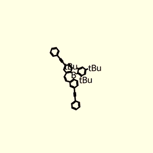 CC(C)(C)c1cc(C(C)(C)C)c(B2c3ccc(C#Cc4ccccc4)cc3C=Cc3cc(C#Cc4ccccc4)ccc32)c(C(C)(C)C)c1